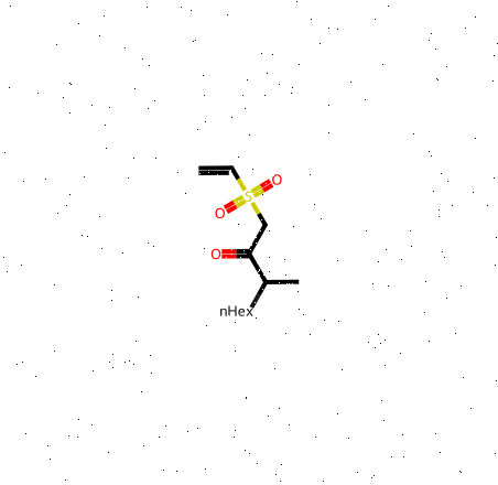 C=CS(=O)(=O)CC(=O)C(C)CCCCCC